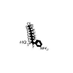 Nc1cccc(C(F)(C(F)(F)C(F)(F)C(F)(F)C(F)(F)C(F)(F)C(F)(F)C(F)(F)F)S(=O)(=O)O)c1